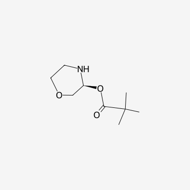 CC(C)(C)C(=O)O[C@H]1COCCN1